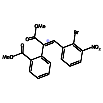 COC(=O)/C(=C/c1cccc([N+](=O)[O-])c1Br)c1ccccc1C(=O)OC